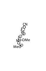 COCCn1c(CN2CCC(c3cccc([Se]Cc4ccc(C#N)cc4F)n3)CC2)nc2ccc(C(=O)OC)cc21